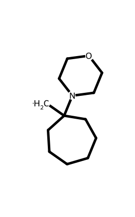 [CH2]C1(N2CCOCC2)CCCCCC1